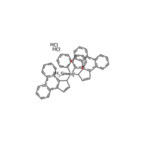 Cl.Cl.[SiH2]=[Hf]([c]1ccccc1)([c]1ccccc1)([CH]1C=Cc2c1c1ccccc1c1ccccc21)[CH]1C=Cc2c1c1ccccc1c1ccccc21